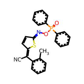 Cc1ccccc1C(C#N)=C1C=CC(=NOP(=O)(c2ccccc2)c2ccccc2)S1